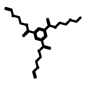 C=COCCOC(=O)c1cc(C(=O)OCCOC=C)cc(C(=O)OCCOCC)c1